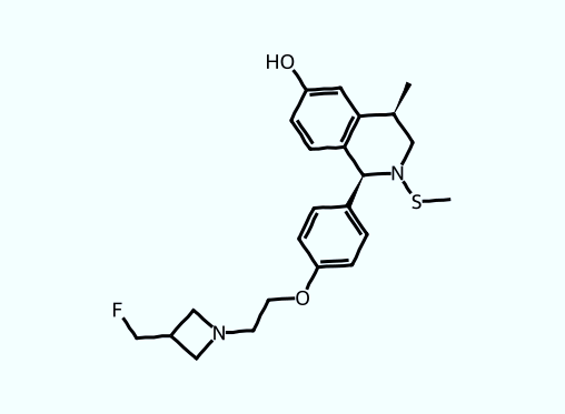 CSN1C[C@H](C)c2cc(O)ccc2[C@@H]1c1ccc(OCCN2CC(CF)C2)cc1